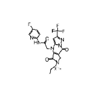 CC[C@@H](C)N1Cc2c(n(CC(=O)Nc3ccc(F)cn3)c3cc(C(F)(F)F)nn3c2=O)C1=O